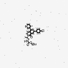 CC(CNC(=O)OC(C)(C)C)n1cnc2c(-c3cccnc3)nc(-c3ccc(Cl)cc3)cc2c1=O